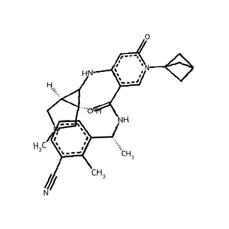 Cc1c(C#N)cccc1[C@@H](C)NC(=O)c1cn(C23CC(C2)C3)c(=O)cc1NC1[C@H]2CN(C)C[C@@H]12